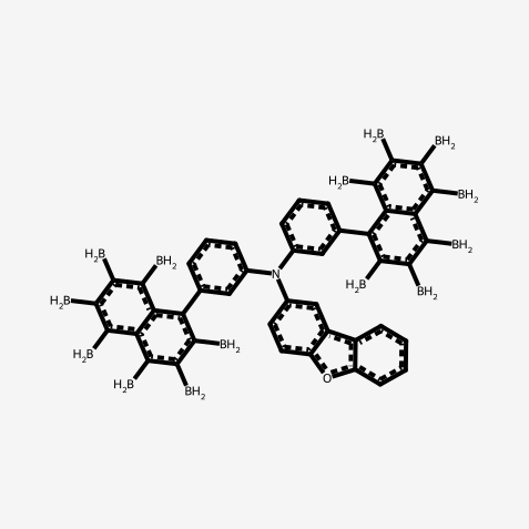 Bc1c(B)c(B)c2c(-c3cccc(N(c4cccc(-c5c(B)c(B)c(B)c6c(B)c(B)c(B)c(B)c56)c4)c4ccc5oc6ccccc6c5c4)c3)c(B)c(B)c(B)c2c1B